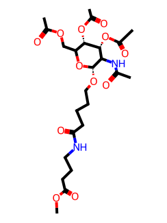 COC(=O)CCCNC(=O)CCCCO[C@@H]1OC(COC(C)=O)[C@H](OC(C)=O)[C@H](OC(C)=O)C1NC(C)=O